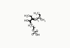 C=C(CC)C(=O)O.CCN(C)C.CCOS(=O)(=O)O